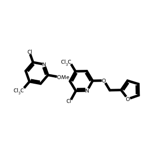 COc1cc(C(Cl)(Cl)Cl)cc(Cl)n1.Clc1cc(C(Cl)(Cl)Cl)cc(OCc2ccco2)n1